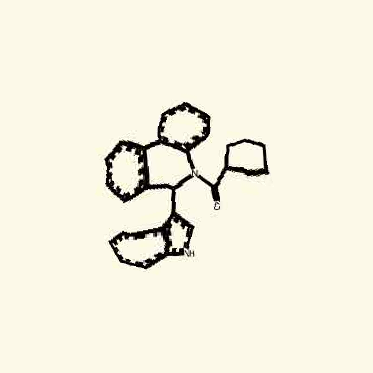 O=C(C1CCCCC1)N1c2ccccc2-c2ccccc2C1c1c[nH]c2ccccc12